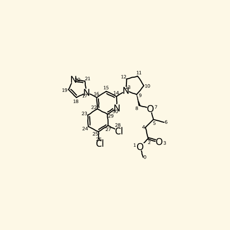 COC(=O)CC(C)OC[C@@H]1CCCN1c1cc(-n2ccnc2)c2ccc(Cl)c(Cl)c2n1